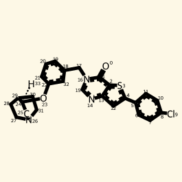 O=c1c2sc(-c3ccc(Cl)cc3)cc2ncn1Cc1cccc(O[C@H]2CN3CCC2CC3)c1